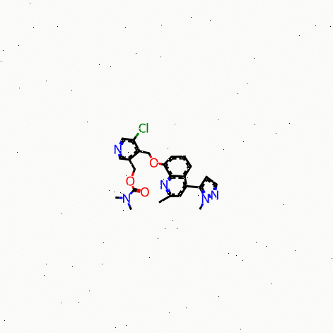 Cc1cc(-c2ccnn2C)c2cccc(OCc3c(Cl)cncc3COC(=O)N(C)C)c2n1